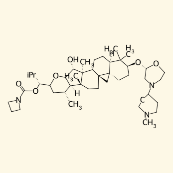 CC(C)[C@@H](OC(=O)N1CCC1)C1C[C@@H](C)[C@H]2C(O1)[C@H](O)[C@@]1(C)C3CC[C@H]4C(C)(C)[C@@H](O[C@H]5CN(C6CCN(C)CC6)CCO5)CC[C@@]45C[C@@]35CC[C@]21C